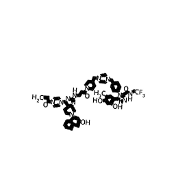 C=CC(=O)N1CCN(c2nc(NCCC(=O)N3CCC(CN4CCN(Cc5ccc(-n6c(C(=O)NCC(F)(F)F)nnc6-c6cc(C)c(O)cc6O)cc5)CC4)CC3)nc3c2CCN(c2cc(O)cc4ccccc24)C3)CC1